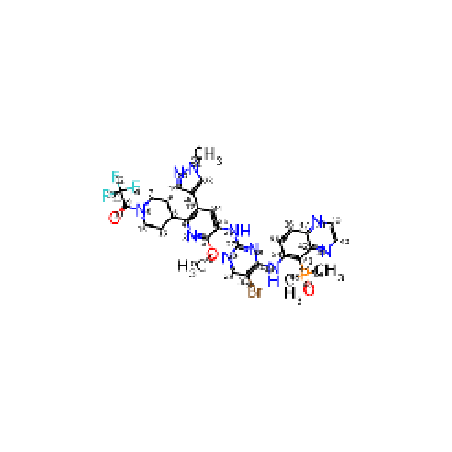 COc1nc(C2CCN(C(=O)C(F)(F)F)CC2)c(-c2cnn(C)c2)cc1Nc1ncc(Br)c(Nc2ccc3nccnc3c2P(C)(C)=O)n1